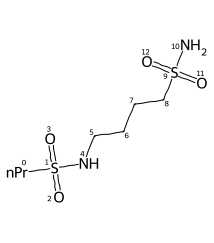 CCCS(=O)(=O)NCCCCS(N)(=O)=O